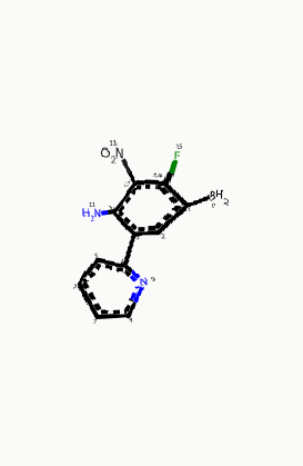 Bc1cc(-c2ccccn2)c(N)c([N+](=O)[O-])c1F